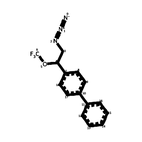 [N-]=[N+]=NCC(OC(F)(F)F)c1ccc(-c2ccccc2)cc1